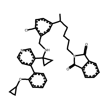 CC(CCCCN1C(=O)c2ccccc2C1=O)c1ccc(Cl)c(CNC2(c3cnccc3-c3ccccc3OC3CC3)CC2)c1